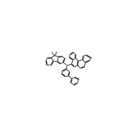 CC1(C)c2ccccc2-c2cc(N(c3cccc(-c4ccccc4)c3)c3cc4ccc5ccccc5c4c4ccccc34)ccc21